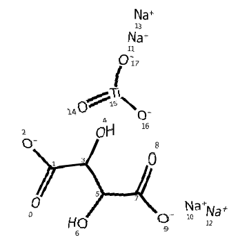 O=C([O-])C(O)C(O)C(=O)[O-].[Na+].[Na+].[Na+].[Na+].[O]=[Ti]([O-])[O-]